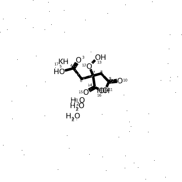 O.O.O.O=C(O)CC(CC(=O)O)(OO)C(=O)O.[KH]